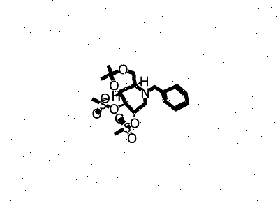 CC1(C)OC[C@@H]2[C@@H](O1)[C@H](OS(C)(=O)=O)[C@@H](OS(C)(=O)=O)CN2Cc1ccccc1